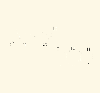 CCC(CC)(CCCS(N)(=O)=O)COc1nn2ncnc2cc1C